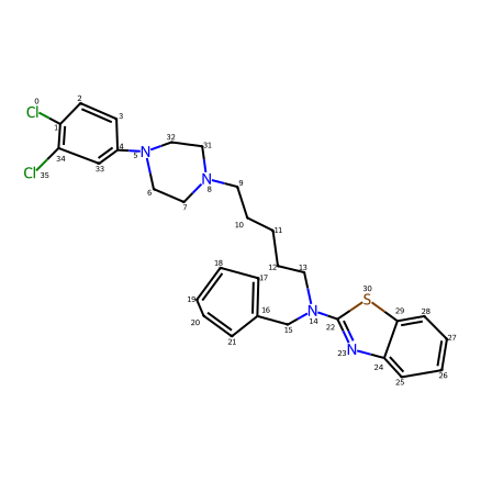 Clc1ccc(N2CCN(CCCCCN(Cc3ccccc3)c3nc4ccccc4s3)CC2)cc1Cl